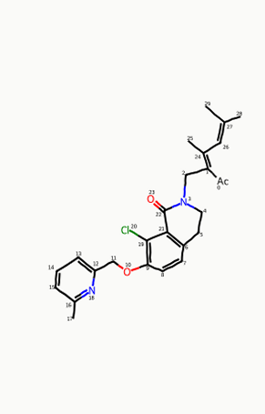 CC(=O)/C(CN1CCc2ccc(OCc3cccc(C)n3)c(Cl)c2C1=O)=C(/C)C=C(C)C